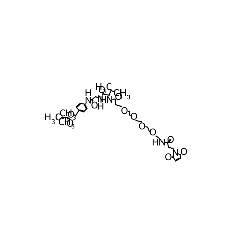 CC(C)C(NC(=O)CCOCCOCCOCCOCCNC(=O)CCN1C(=O)C=CC1=O)C(=O)NCC(=O)Nc1ccc(COC(=O)C(C)(C)C)cc1